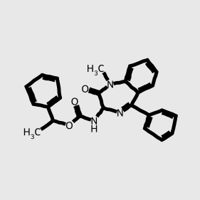 CC(OC(=O)NC1N=C(c2ccccc2)c2ccccc2N(C)C1=O)c1ccccc1